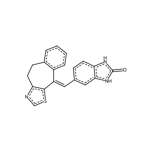 O=c1[nH]c2ccc(/C=C3\c4ccccc4CCc4ncsc43)cc2[nH]1